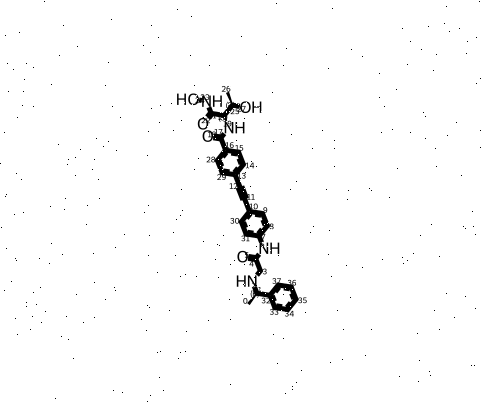 C[C@@H](NCC(=O)Nc1ccc(C#Cc2ccc(C(=O)N[C@H](C(=O)NO)[C@@H](C)O)cc2)cc1)c1ccccc1